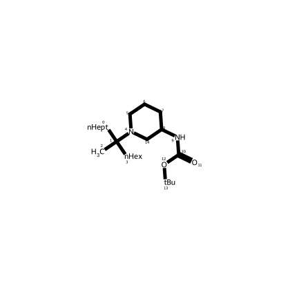 CCCCCCCC(C)(CCCCCC)N1CCCC(NC(=O)OC(C)(C)C)C1